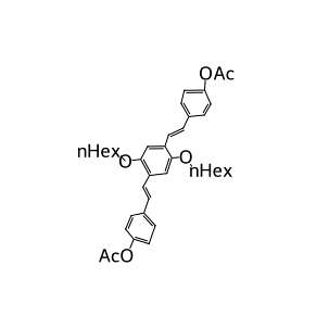 CCCCCCOc1cc(C=Cc2ccc(OC(C)=O)cc2)c(OCCCCCC)cc1C=Cc1ccc(OC(C)=O)cc1